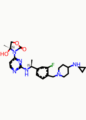 C[C@H](Nc1nccc(N2C(=O)OC[C@]2(C)O)n1)c1ccc(CN2CCC(NC3CC3)CC2)c(F)c1